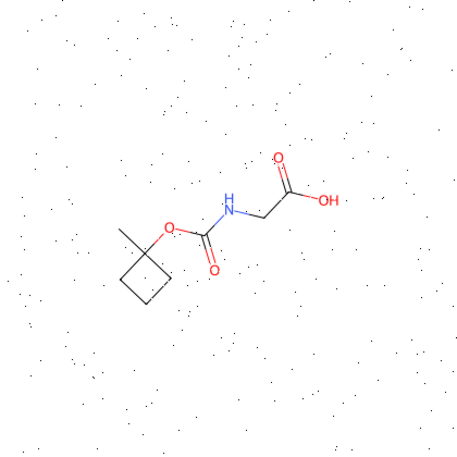 CC1(OC(=O)NCC(=O)O)CCC1